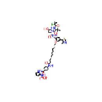 Cc1ncsc1-c1ccc(CNC(=O)[C@@H]2C[C@@H](O)CN2C(=O)C(NC(=O)C2(F)CC2)C(C)(C)C)c(OCCCCCCCCCCCC(=O)Nc2ccc(C(=O)Nc3ccccc3NC(=O)O)cc2)c1